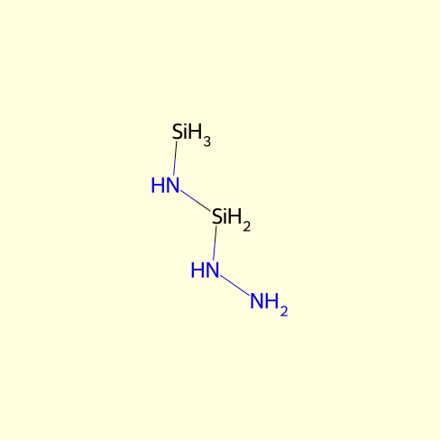 NN[SiH2]N[SiH3]